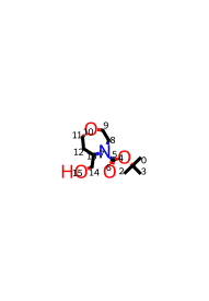 CC(C)(C)OC(=O)N1CCOCCC1CO